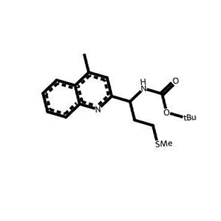 CSCCC(NC(=O)OC(C)(C)C)c1cc(C)c2ccccc2n1